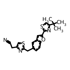 CC(C)(C)c1csc(-c2cc3cc(Cc4nc(CC#N)cs4)ccc3o2)n1